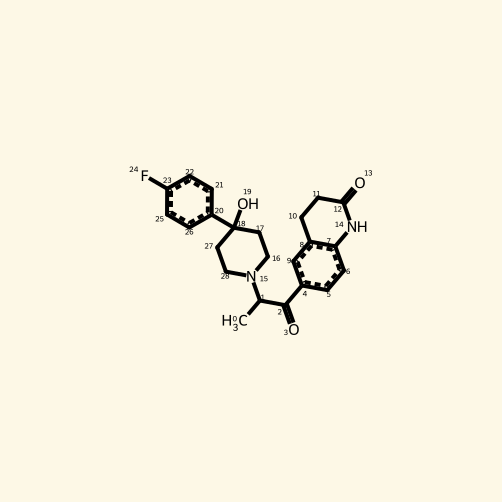 CC(C(=O)c1ccc2c(c1)CCC(=O)N2)N1CCC(O)(c2ccc(F)cc2)CC1